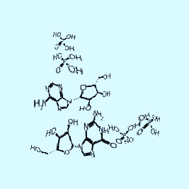 Nc1nc2c(ncn2[C@@H]2O[C@H](CO)[C@@H](O)[C@H]2O)c(=O)[nH]1.Nc1ncnc2c1ncn2[C@@H]1O[C@H](CO)[C@@H](O)[C@H]1O.O=P(O)(O)O.O=P(O)(O)O.O=P(O)(O)O.O=P(O)(O)O